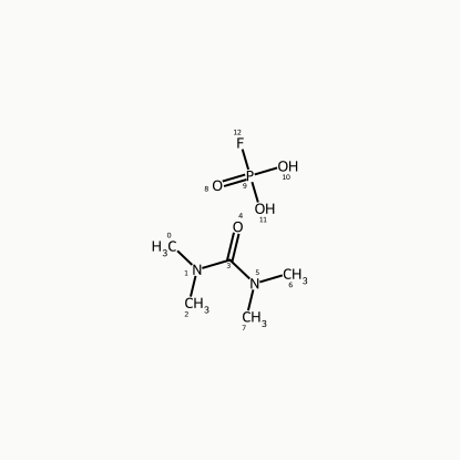 CN(C)C(=O)N(C)C.O=P(O)(O)F